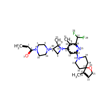 C=CC(=O)N1CCN([C@@H]2CN(c3cc(N4CCC5(CC4)OCC=C5C)nc(C(F)F)c3C)[C@@H]2C)CC1